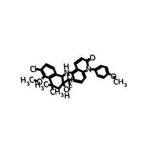 COc1ccc(-n2c(=O)ccc3c(NC4c5ccc(Cl)c(OC)c5C(C)(C)CC4(O)C(F)(F)F)cccc32)cc1